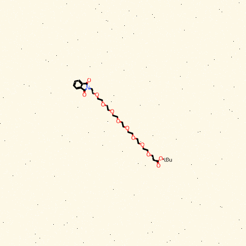 CC(C)(C)OC(=O)CCOCCOCCOCCOCCOCCOCCOCCOCCN1C(=O)c2ccccc2C1=O